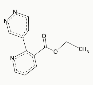 CCOC(=O)c1cccnc1-c1ccnnc1